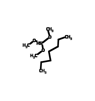 CCCCCCC.CO[SiH](OC)OC